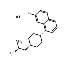 C[C@@H](N)C[C@H]1CC[C@H](c2ccnc3ccc(F)cc32)CC1.Cl